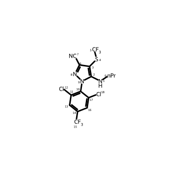 CCCNc1c(SC(F)(F)F)c(C#N)nn1-c1c(Cl)cc(C(F)(F)F)cc1Cl